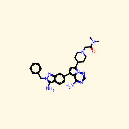 CN(C)C(=O)CN1CCC(c2cc(-c3ccc4c(N)n(Cc5ccccc5)nc4c3)c3c(N)ncnn23)CC1